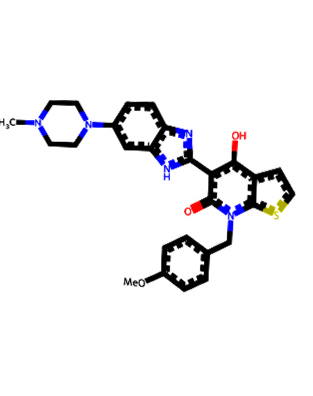 COc1ccc(Cn2c(=O)c(-c3nc4ccc(N5CCN(C)CC5)cc4[nH]3)c(O)c3ccsc32)cc1